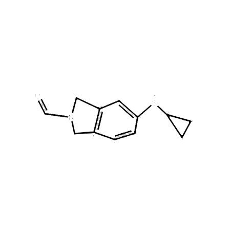 O=CN1Cc2ccc(SC3CC3)cc2C1